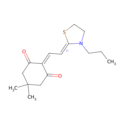 CCCN1CCS/C1=C\C=C1C(=O)CC(C)(C)CC1=O